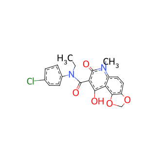 CCN(C(=O)c1c(O)c2c3c(ccc2n(C)c1=O)OCO3)c1ccc(Cl)cc1